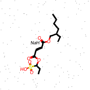 CCCCC(CC)COC(=O)C=CC(=O)OC(CC)S(=O)(=O)O.[NaH]